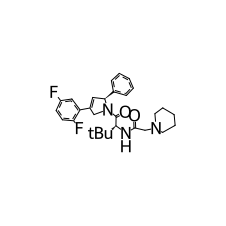 CC(C)(C)[C@H](NC(=O)CN1CCCCC1)C(=O)N1CC(c2cc(F)ccc2F)=C[C@H]1c1ccccc1